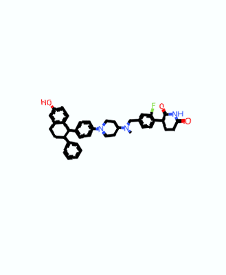 CN(Cc1ccc(C2CCC(=O)NC2=O)c(F)c1)C1CCN(c2ccc(C3c4ccc(O)cc4CCC3c3ccccc3)cc2)CC1